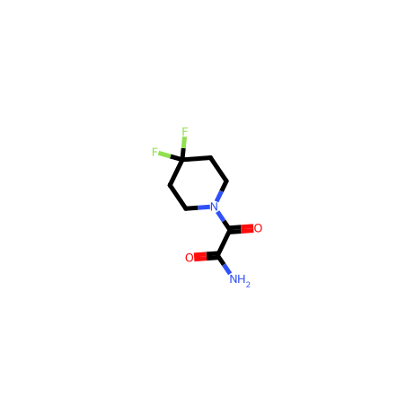 NC(=O)C(=O)N1CCC(F)(F)CC1